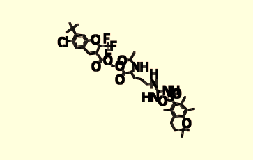 CC(=O)NC(CCCNC(=N)NS(=O)(=O)c1c(C)c(C)c2c(c1C)CCC(C)(C)O2)C(=O)OCOC(=O)C1=Cc2cc(Cl)c(C(C)(C)C)cc2OC1C(F)(F)F